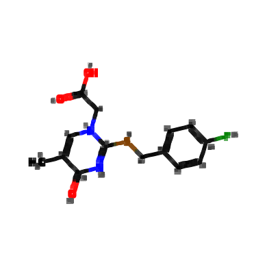 Cc1cn(CC(=O)O)c(SCc2ccc(F)cc2)nc1=O